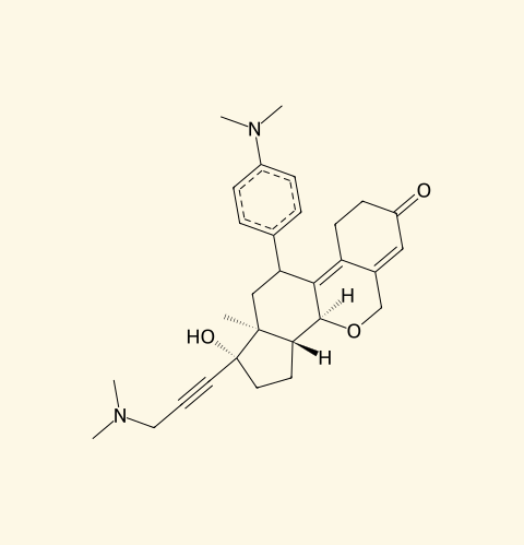 CN(C)CC#C[C@]1(O)CC[C@H]2[C@@H]3OCC4=CC(=O)CCC4=C3C(c3ccc(N(C)C)cc3)C[C@@]21C